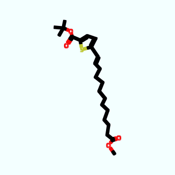 COC(=O)CCCCCCCCCC/C=C/c1ccc(C(=O)OC(C)(C)C)s1